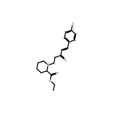 CCOC(=O)C1CCCCN1CCC(=O)C=Cc1ccc(Cl)cc1